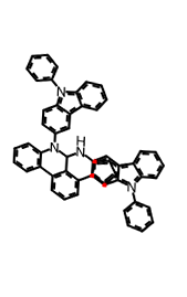 C1=CC(c2cccc3c2C(Nc2ccc4c(c2)c2ccccc2n4-c2ccccc2)N(c2ccc4c(c2)c2ccccc2n4-c2ccccc2)c2ccccc2-3)C=C1